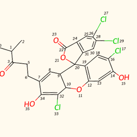 CC(C)C(=O)CCC1=CC2C(Oc3cc(O)c(Cl)cc3C23OC(=O)c2cc(Cl)c(Cl)cc23)C(Cl)=C1O